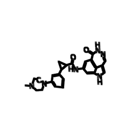 CN1CCN(c2cccc(C3CC3C(=O)Nc3cc4c5c(c[nH]c5c3)C=NNC4=O)c2)CC1